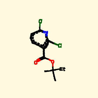 CCC(C)(C)OC(=O)c1ccc(Cl)nc1Cl